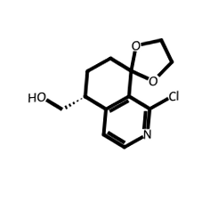 OC[C@@H]1CCC2(OCCO2)c2c1ccnc2Cl